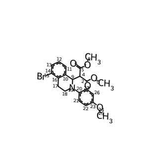 COC(=O)C(C(=O)OC)C1c2cccc(Br)c2CCN1c1ccc(OC)cc1